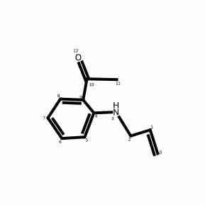 C=CCNc1ccccc1C(C)=O